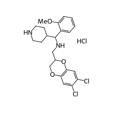 COc1ccccc1C(NCC1COc2cc(Cl)c(Cl)cc2O1)C1CCNCC1.Cl